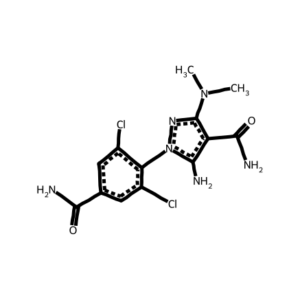 CN(C)c1nn(-c2c(Cl)cc(C(N)=O)cc2Cl)c(N)c1C(N)=O